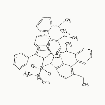 CCc1ccc2c(c1-c1ccccc1C(C)C)C=C(c1ccccc1)[CH]2[Zr]([Cl])([Cl])([CH]1C(c2ccccc2)=Cc2c1ccc(CC)c2-c1ccccc1C(C)C)[SiH](C)C